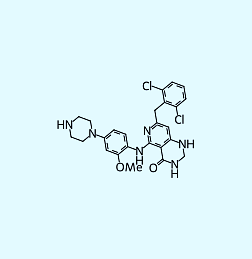 COc1cc(N2CCNCC2)ccc1Nc1nc(Cc2c(Cl)cccc2Cl)cc2c1C(=O)NCN2